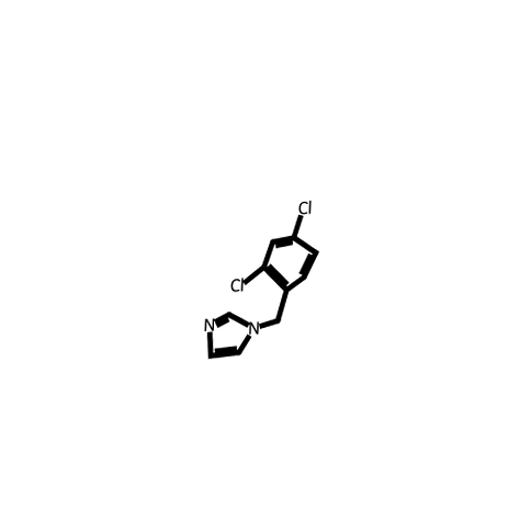 Clc1ccc(Cn2ccnc2)c(Cl)c1